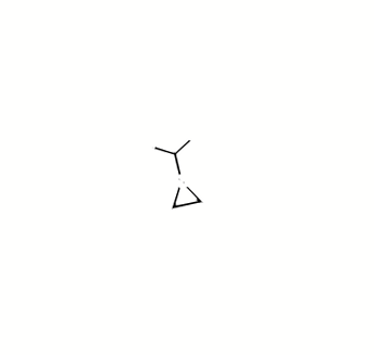 CC([O])N1CC1